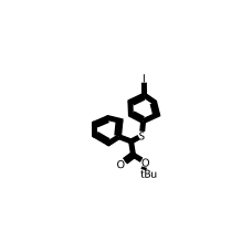 CC(C)(C)OC(=O)C(Sc1ccc(I)cc1)c1ccccc1